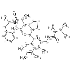 CC[C@H](C)[C@@H](C(CC(=O)N1CCCC1C(OC)C(C)C(=O)NC(C)Cc1ccccc1)OC)N(C)C(=O)CNC(=O)C(N)C(C)C